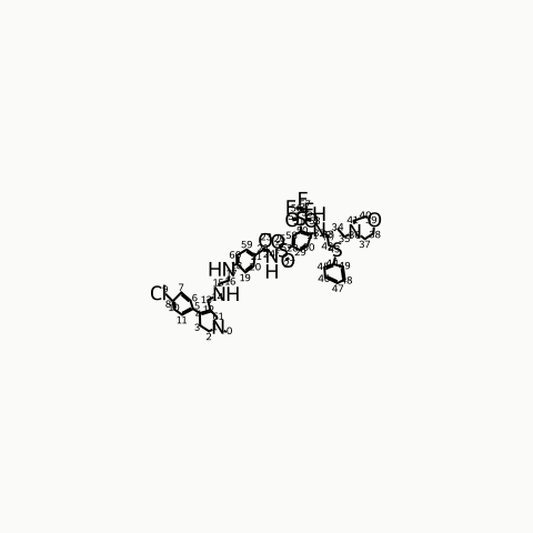 CN1CCC(c2ccc(Cl)cc2)=C(CNCCNc2ccc(C(=O)NS(=O)(=O)c3ccc(N[C@H](CCN4CCOCC4)CSc4ccccc4)c(S(=O)(=O)C(F)(F)F)c3)cc2)C1